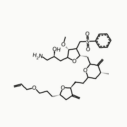 C=CCOCCC[C@H]1CC(=C)[C@H](CCC2C[C@@H](C)C(=C)C(C[C@@H]3OC(C[C@H](O)CN)[C@H](OC)C3CS(=O)(=O)c3ccccc3)O2)O1